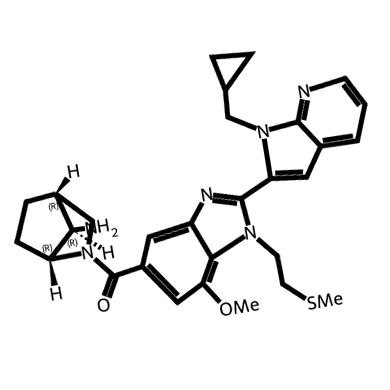 COc1cc(C(=O)N2C[C@H]3CC[C@@H]2[C@@H]3N)cc2nc(-c3cc4cccnc4n3CC3CC3)n(CCSC)c12